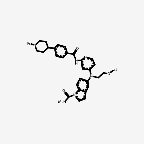 CCOCCN(c1ccnc(NC(=O)c2ccc(C3CCN(C(C)C)CC3)cc2)c1)c1ccc2c(ccn2C(=O)NC)c1